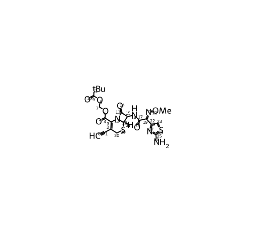 C#CC1=C(C(=O)OCOC(=O)C(C)(C)C)N2C(=O)C(NC(=O)C(=NOC)c3csc(N)n3)[C@@H]2SC1